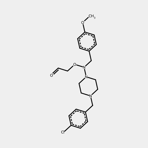 COc1ccc(CN(OCC=O)N2CCN(Cc3ccc(Cl)cc3)CC2)cc1